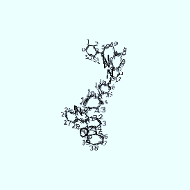 c1ccc(C2=Nc3c(ccc4ccc(-c5ccc(-c6ccc(-c7nc8ccccc8c8c7ccc7c9ccccc9oc78)cc6)cc5)nc34)CC2)cc1